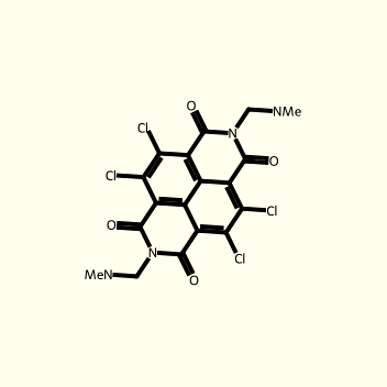 CNCN1C(=O)c2c(Cl)c(Cl)c3c4c(c(Cl)c(Cl)c(c24)C1=O)C(=O)N(CNC)C3=O